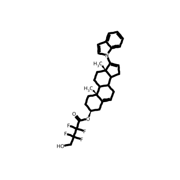 C[C@]12CC[C@H](OC(=O)C(F)(F)C(F)(F)CO)CC1=CCC1C2CC[C@]2(C)C(n3ccc4ccccc43)=CCC12